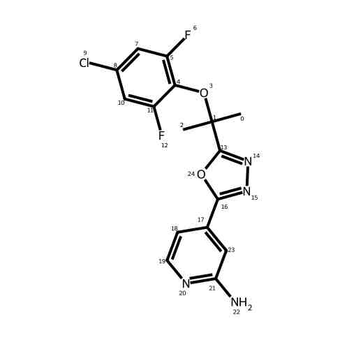 CC(C)(Oc1c(F)cc(Cl)cc1F)c1nnc(-c2ccnc(N)c2)o1